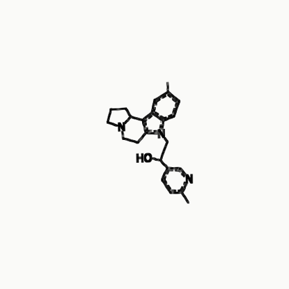 Cc1ccc2c(c1)c1c(n2CC(O)c2ccc(C)nc2)CCN2CCCC12